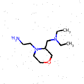 CCN(CC)CC1COCCN1CCN